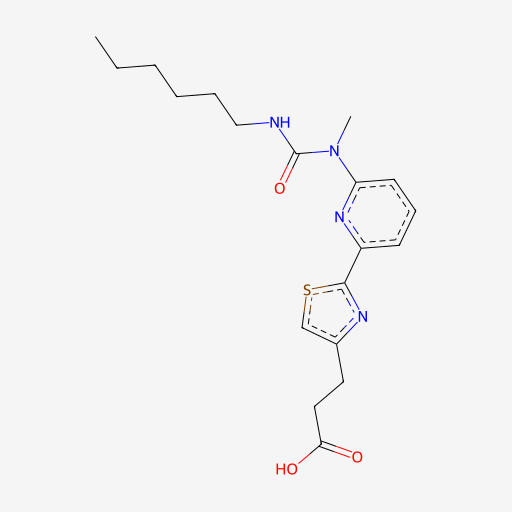 CCCCCCNC(=O)N(C)c1cccc(-c2nc(CCC(=O)O)cs2)n1